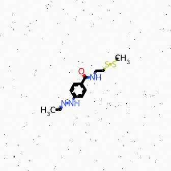 C/C=N/Nc1ccc(C(=O)NCCSSC)cc1